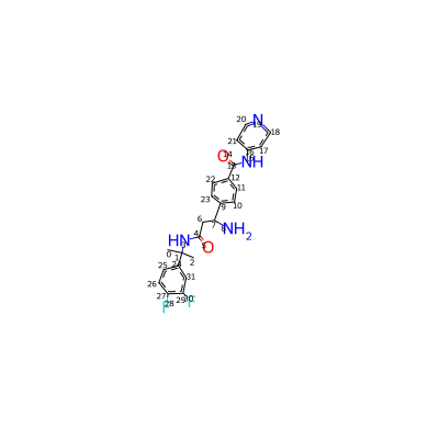 CC(C)(NC(=O)CC(N)c1ccc(C(=O)Nc2ccncc2)cc1)c1ccc(F)c(F)c1